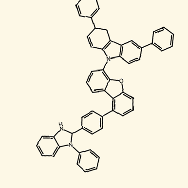 C1=CC(c2ccccc2)Cc2c1n(-c1cccc3c1oc1cccc(-c4ccc(C5Nc6ccccc6N5c5ccccc5)cc4)c13)c1ccc(-c3ccccc3)cc21